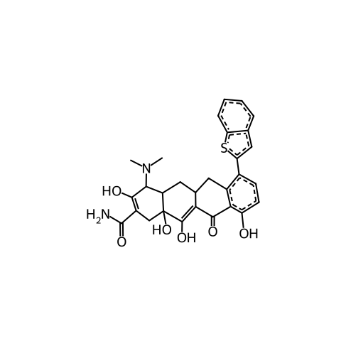 CN(C)C1C(O)=C(C(N)=O)CC2(O)C(O)=C3C(=O)c4c(O)ccc(-c5cc6ccccc6s5)c4CC3CC12